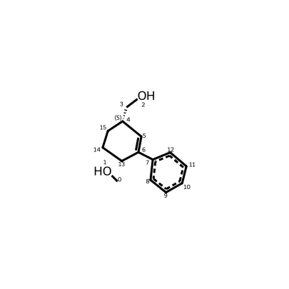 CO.OC[C@@H]1C=C(c2ccccc2)CCC1